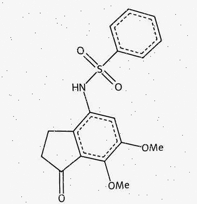 COc1cc(NS(=O)(=O)c2ccccc2)c2c(c1OC)C(=O)CC2